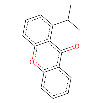 CC(C)c1cccc2oc3ccccc3c(=O)c12